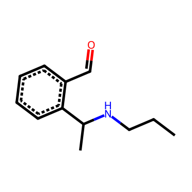 CCCNC(C)c1ccccc1C=O